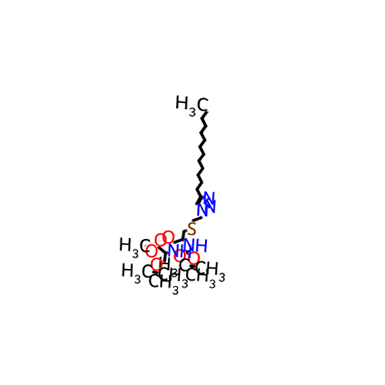 CCCCCCCCCCCCCc1cn(CCSCC(NC(=O)OC(C)(C)C)C(=O)NC(COC(C)(C)C)C(=O)OC)nn1